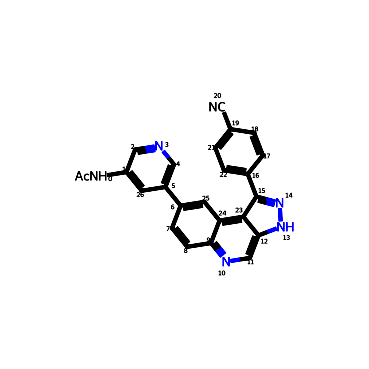 CC(=O)Nc1cncc(-c2ccc3ncc4[nH]nc(-c5ccc(C#N)cc5)c4c3c2)c1